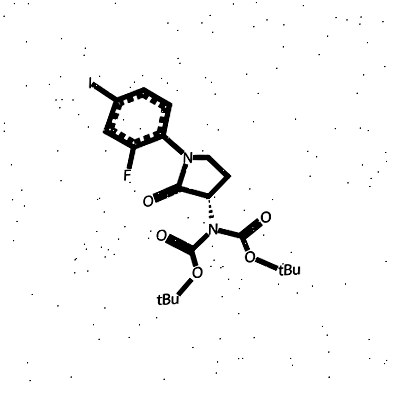 CC(C)(C)OC(=O)N(C(=O)OC(C)(C)C)[C@H]1CCN(c2ccc(I)cc2F)C1=O